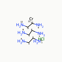 Cl.NCCN.NCCN.NCCN.[Cr]